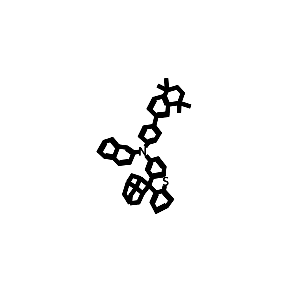 CC1(C)CCC(C)(C)c2cc(-c3ccc(N(c4ccc5c(c4)C4(c6ccccc6S5)C5CC6CC7CC4C75C6)c4ccc5ccccc5c4)cc3)ccc21